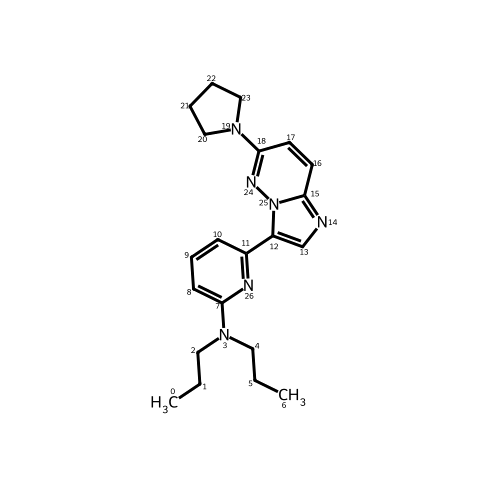 CCCN(CCC)c1cccc(-c2cnc3ccc(N4CCCC4)nn23)n1